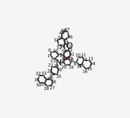 c1ccc(N(c2ccc(-c3ccc4ccccc4c3)cc2)c2ccc(-c3cccc4ccccc34)cc2)c(-c2cccc3oc4c5ccccc5ccc4c23)c1